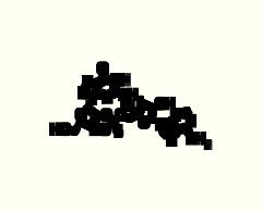 CC[C@@]1(COP(O)(=S)O[C@@H]2C[C@@H](CO)O[C@H]2n2nnc3c(=O)[nH]c(N)nc32)C[C@@H](O)[C@H](n2cnc3c(N)ncnc32)O1